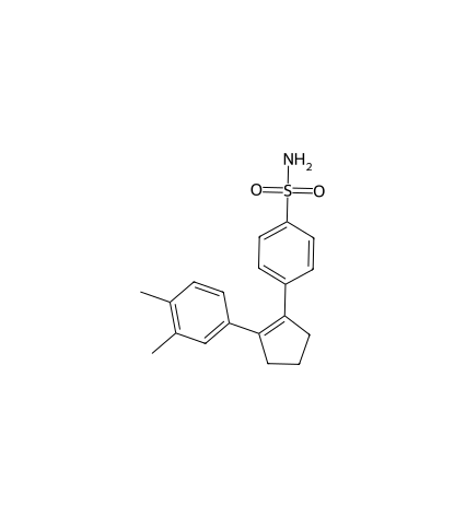 Cc1ccc(C2=C(c3ccc(S(N)(=O)=O)cc3)CCC2)cc1C